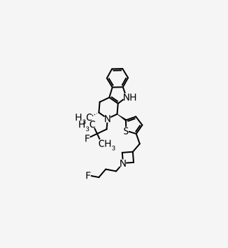 C[C@@H]1Cc2c([nH]c3ccccc23)[C@@H](c2ccc(CC3CN(CCCF)C3)s2)N1CC(C)(C)F